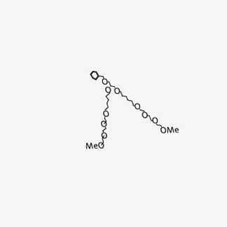 COCCOCCOCCOCCCCCCOCC(COCc1ccccc1)OCCCCCCOCCOCCOCCOC